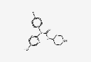 O=C(OC1CCNCC1)N(c1ccc(F)cc1)c1ccc(O)cn1